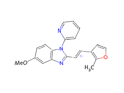 COc1ccc2c(c1)nc(/C=C/c1ccoc1C)n2-c1ccccn1